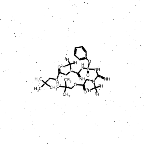 [2H]C([2H])([2H])N(CC(=O)OCC(C)(C)C)C(=N)NP(=O)(NC(=N)N(CC(=O)OCC(C)(C)C)C([2H])([2H])[2H])Oc1ccccc1